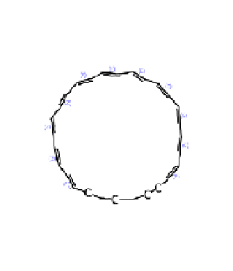 [C]1=C/C=C\C=C/C=C\C=C\C=C\C=C\C=C/C=C/C=C/C=C/CCCCCC/1